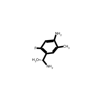 Cc1cc([C@@H](C)N)c(F)cc1N